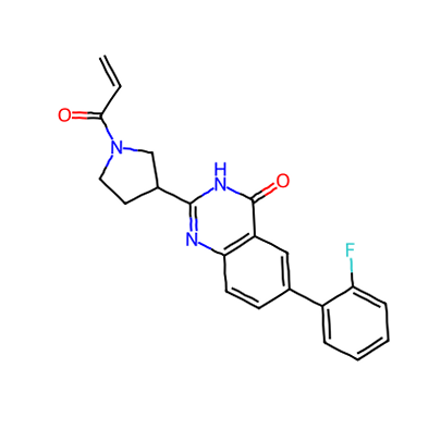 C=CC(=O)N1CCC(c2nc3ccc(-c4ccccc4F)cc3c(=O)[nH]2)C1